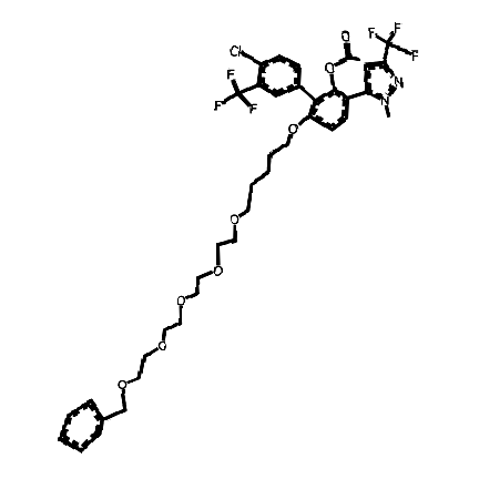 CC(=O)Oc1c(-c2cc(C(F)(F)F)nn2C)ccc(OCCCCCOCCOCCOCCOCCOCc2ccccc2)c1-c1ccc(Cl)c(C(F)(F)F)c1